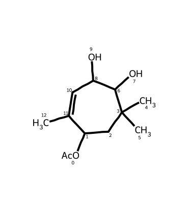 CC(=O)OC1CC(C)(C)C(O)C(O)C=C1C